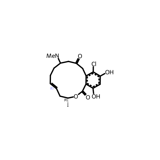 CNC1CC/C=C/C[C@@H](C)OC(=O)c2c(O)cc(O)c(Cl)c2CC(=O)C1